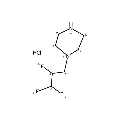 Cl.FC(F)C(F)CN1CCNCC1